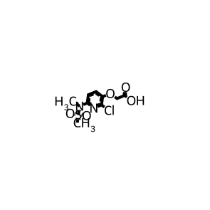 CN(c1ccc(OCC(=O)O)c(Cl)n1)S(C)(=O)=O